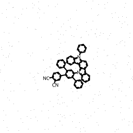 N#Cc1ccc(-c2cc(-c3ccccc3)c(-n3c4ccccc4c4ccc5c(c6ccccc6n5-c5ccccc5)c43)cc2-c2ccccc2)cc1C#N